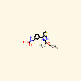 C=C(OCC)c1nc(-c2cccc(CNC(=O)O)c2)c2ccsc2n1